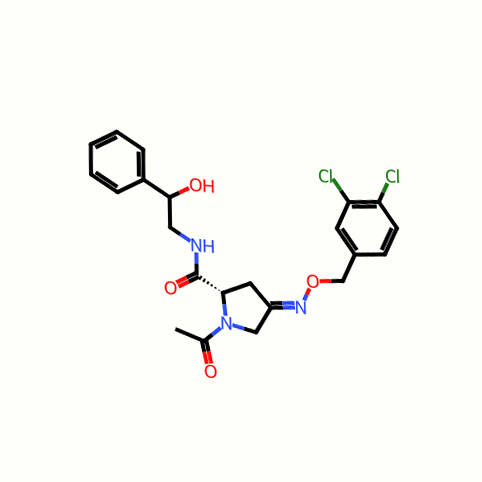 CC(=O)N1C/C(=N/OCc2ccc(Cl)c(Cl)c2)C[C@H]1C(=O)NCC(O)c1ccccc1